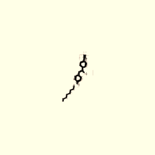 CCCCCCCCOc1ccc(CC([NH])c2ccc(C(F)(F)F)cc2)cc1